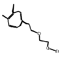 CCOCCOCCc1ccc(C)c(C)c1